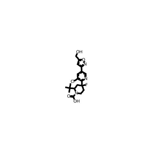 CC(C)(C)C1CC(F)(c2ncc(-c3cc(CO)on3)cc2Cl)CCN1C(=O)O